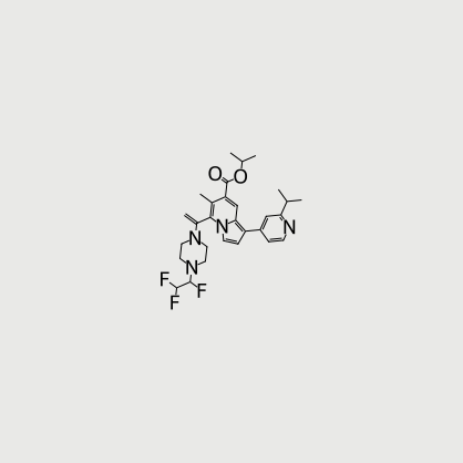 C=C(c1c(C)c(C(=O)OC(C)C)cc2c(-c3ccnc(C(C)C)c3)ccn12)N1CCN(C(F)C(F)F)CC1